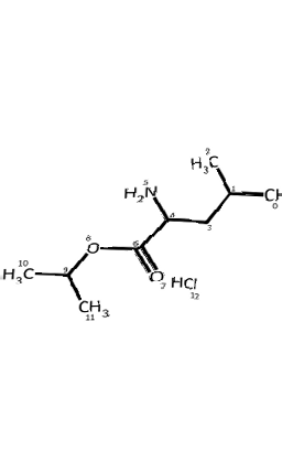 CC(C)CC(N)C(=O)OC(C)C.Cl